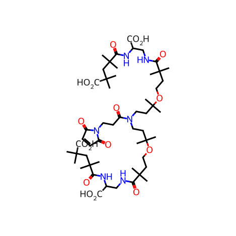 CC(C)(CCN(CCC(C)(C)OCCC(C)(C)C(=O)NCC(NC(=O)C(C)(C)CC(C)(C)C(=O)O)C(=O)O)C(=O)CCN1C(=O)C=CC1=O)OCCC(C)(C)C(=O)NCC(NC(=O)C(C)(C)CC(C)(C)C(=O)O)C(=O)O